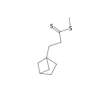 CSC(=S)CCC12CCC(C1)C2